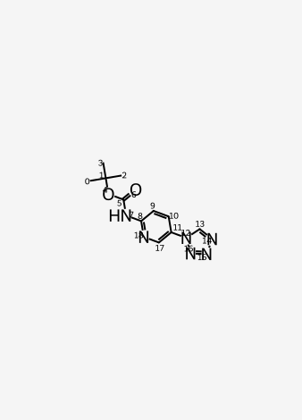 CC(C)(C)OC(=O)Nc1ccc(-n2cnnn2)cn1